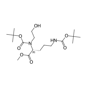 COC(=O)[C@@H](CCCNC(=O)OC(C)(C)C)N(CCO)C(=O)OC(C)(C)C